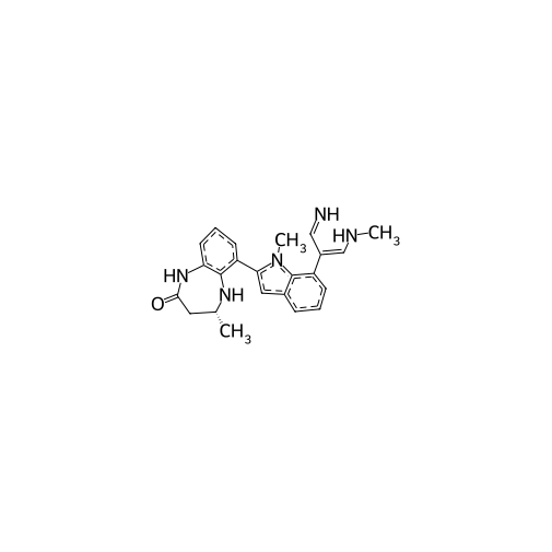 CN/C=C(\C=N)c1cccc2cc(-c3cccc4c3N[C@H](C)CC(=O)N4)n(C)c12